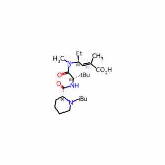 CCC(C)N1CCCC[C@@H]1C(=O)N[C@H](C(=O)N(C)[C@H](/C=C(\C)C(=O)O)CC)C(C)(C)C